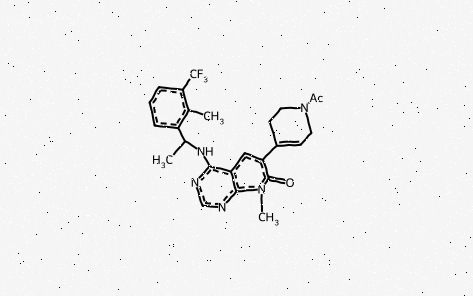 CC(=O)N1CC=C(c2cc3c(NC(C)c4cccc(C(F)(F)F)c4C)ncnc3n(C)c2=O)CC1